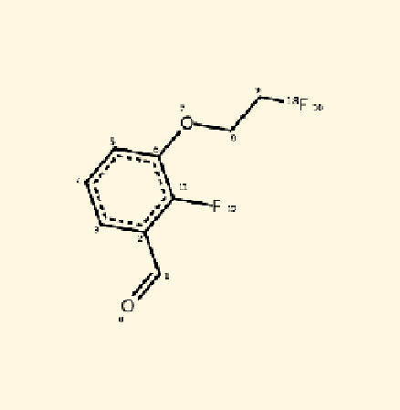 O=Cc1cccc(OCC[18F])c1F